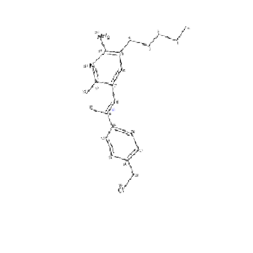 CCCCCc1cc(/C=C(\C)c2ccc(CCl)cc2)c(C)nc1N